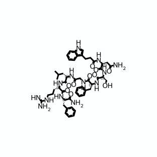 CC(C)C[C@H](NC(=O)CNC(=O)[C@H](Cc1ccccc1)NC(=O)[C@H](CO)NC(=O)[C@H](CC(N)=O)NC(=O)CCc1c[nH]c2ccccc12)C(=O)N[C@@H](CCCNC(=N)N)C(=O)N[C@@H](Cc1ccccc1)C(N)=O